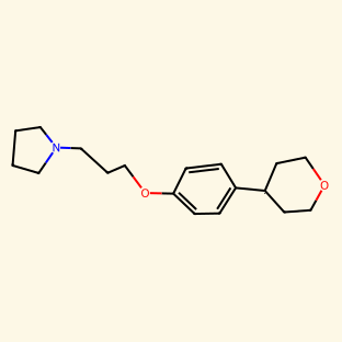 c1cc([C]2CCOCC2)ccc1OCCCN1CCCC1